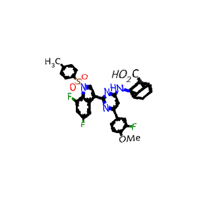 COc1ccc(-c2cc(NC3C4CCC(CC4)C3C(=O)O)nc(-c3cn(S(=O)(=O)c4ccc(C)cc4)c4c(F)cc(F)cc34)n2)cc1F